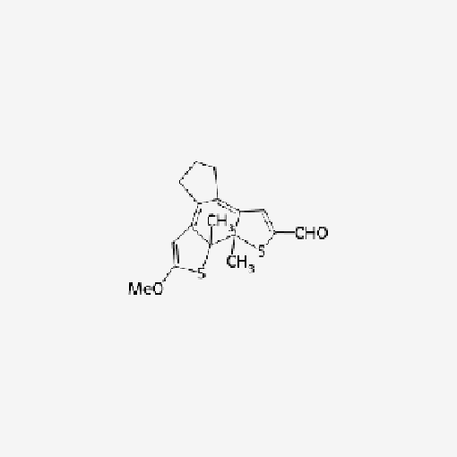 COC1=CC2=C3CCCC3=C3C=C(C=O)SC3(C)C2(C)S1